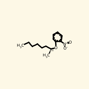 CCCCCC[C@H](C)Oc1cc[c]cc1[N+](=O)[O-]